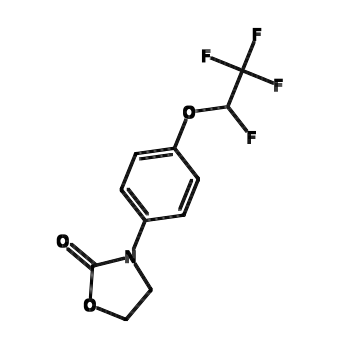 O=C1OCCN1c1ccc(OC(F)C(F)(F)F)cc1